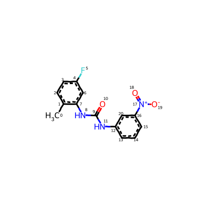 Cc1ccc(F)cc1NC(=O)Nc1cccc([N+](=O)[O-])c1